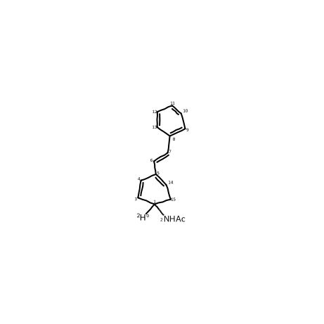 [2H]C1(NC(C)=O)C=CC(C=Cc2ccccc2)=CC1